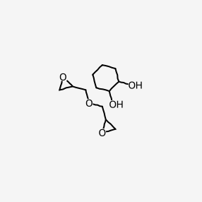 C(OCC1CO1)C1CO1.OC1CCCCC1O